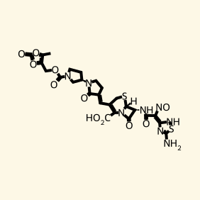 Cc1oc(=O)oc1COC(=O)N1CC[C@@H](N2CC/C(=C\C3=C(C(=O)O)N4C(=O)[C@@H](NC(=O)/C(N=O)=C5\N=C(N)SN5)[C@H]4SC3)C2=O)C1